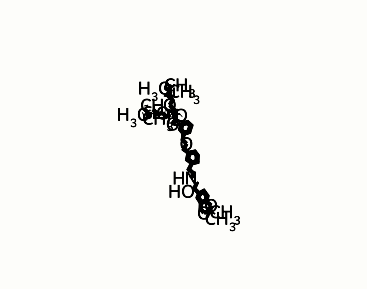 CC1(C)OCc2cc([C@@H](O)CNCCc3cccc(COCc4cccc(S(=O)(=O)N(COCC[Si](C)(C)C)COCC[Si](C)(C)C)c4)c3)ccc2O1